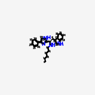 CCCCCCN[C@@H](Cc1c[nH]c2ccccc12)c1nc(-c2ccccc2)c[nH]1